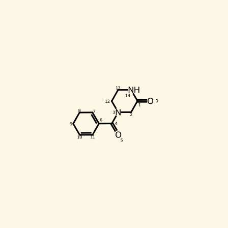 O=C1CN(C(=O)C2=CCCC=C2)CCN1